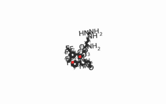 C[C@@H](OC[C@@]1(c2ccccc2)CC[C@]2(CCC(=O)N2)CN1C(=O)OCOC(=O)C(N)CCCNC(=N)N)c1cc(C(F)(F)F)cc(C(F)(F)F)c1